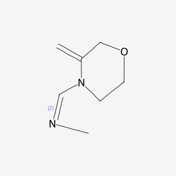 C=C1COCCN1/C=N\C